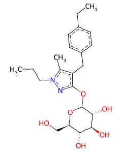 CCCn1nc(OC2O[C@H](CO)[C@@H](O)[C@H](O)[C@H]2O)c(Cc2ccc(CC)cc2)c1C